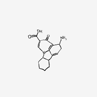 NC1CC=C2c3c1c(=O)c(C(=O)O)cn3C1CCCCC21